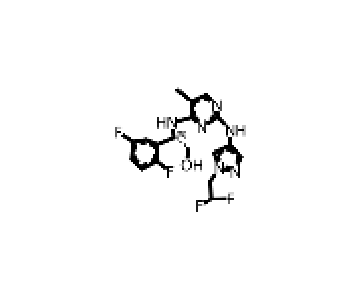 Cc1cnc(Nc2cnn(CC(F)F)c2)nc1N[C@H](CO)c1cc(F)ccc1F